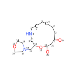 O=C1CCCCCCNCC(CN2CCOCC2)OC(=O)C1